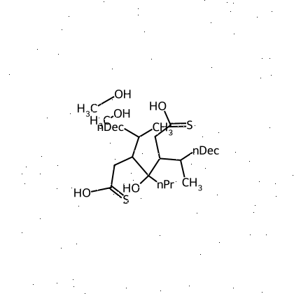 CCCCCCCCCCC(C)C(CC(O)=S)C(O)(CCC)C(CC(O)=S)C(C)CCCCCCCCCC.CO.CO